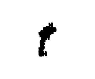 O=C1CCC(N2C(=O)C3=CCCC(NCCOCCOCCCO)=C3C2=O)C(=O)N1